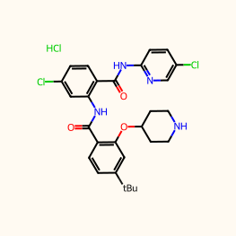 CC(C)(C)c1ccc(C(=O)Nc2cc(Cl)ccc2C(=O)Nc2ccc(Cl)cn2)c(OC2CCNCC2)c1.Cl